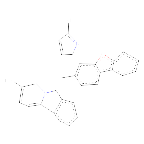 CC1=CC=C2c3ccccc3[C@@H](Cc3ccc4c(oc5ccccc54)c3[C@@H]3C=CC(C)=N3)N2C1